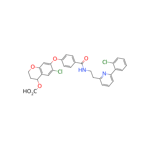 O=C(O)OC1CCOc2cc(Oc3ccc(C(=O)NCCc4cccc(-c5ccccc5Cl)n4)cc3)c(Cl)cc21